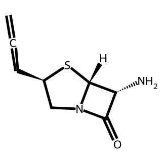 C=C=C[C@@H]1CN2C(=O)[C@@H](N)[C@H]2S1